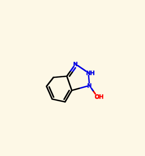 ON1NN=C2CC=CC=C21